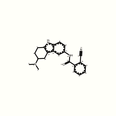 CN(C)C1CCc2[nH]c3ccc(NC(=O)c4ccccc4C#N)cc3c2C1